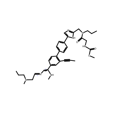 CC#Cc1cc(/C(=C/N=C/CN(C)CCC)NC)ccc1-c1ccc(-c2cnc(CN(CCC)C(=O)CNC(=O)OC)[nH]2)cc1